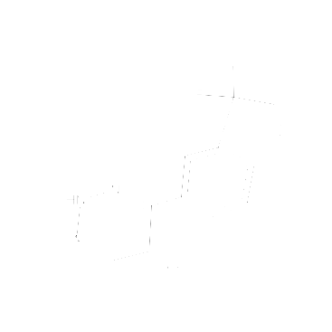 C[C@@H]1OC(=O)NN=C1c1ccc2c(c1)C(F)(F)CO2